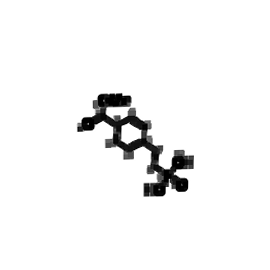 COC(=O)c1ccc(/C=C/P(=O)(O)O)cc1